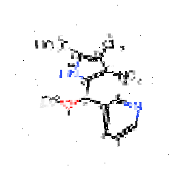 CCOC(c1cccnc1)c1[nH]c(C(=O)O)c(C)c1[N+](=O)[O-]